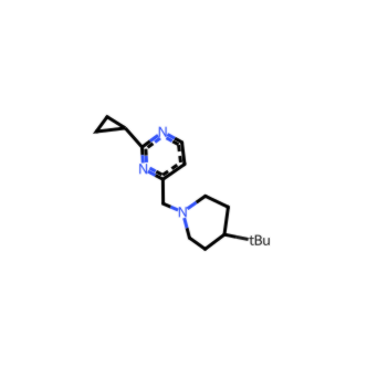 CC(C)(C)C1CCN(Cc2ccnc(C3CC3)n2)CC1